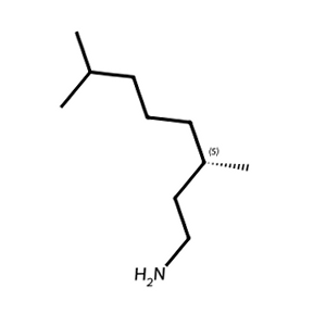 CC(C)CCC[C@H](C)CCN